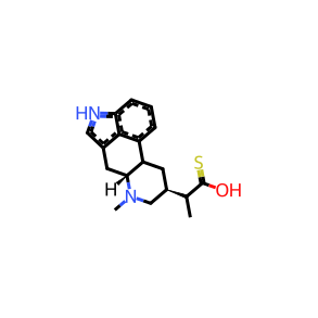 CC(C(O)=S)[C@@H]1CC2c3cccc4[nH]cc(c34)C[C@H]2N(C)C1